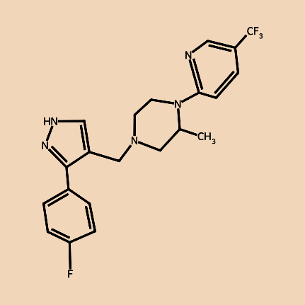 CC1CN(Cc2c[nH]nc2-c2ccc(F)cc2)CCN1c1ccc(C(F)(F)F)cn1